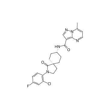 Cc1ccnc2c(C(=O)N[C@H]3CC[C@@]4(CCN(c5ccc(F)cc5Cl)C4=O)CC3)cnn12